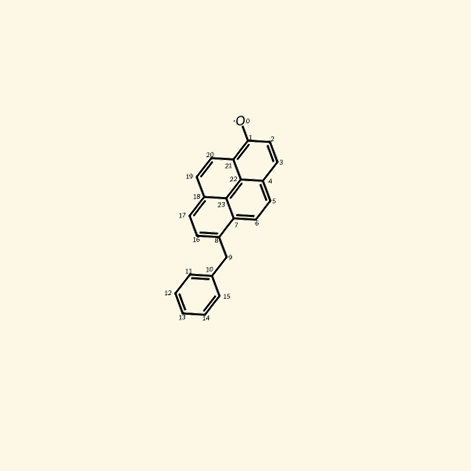 [O]c1ccc2ccc3c(Cc4ccccc4)ccc4ccc1c2c43